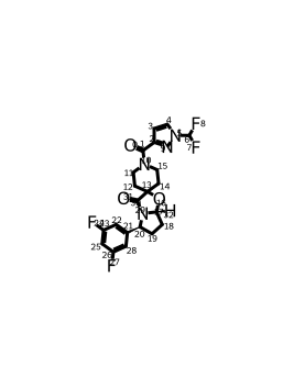 O=C(c1ccn(C(F)F)n1)N1CCC2(CC1)O[C@@H]1CC[C@@H](c3cc(F)cc(F)c3)N1C2=O